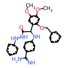 COc1cc(OCc2ccccc2)c(C(Nc2ccc(C(=N)N)cc2)C(=O)NNc2ccccc2)cc1OC